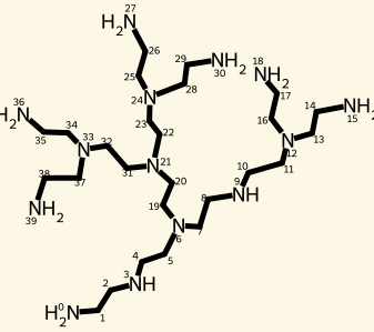 NCCNCCN(CCNCCN(CCN)CCN)CCN(CCN(CCN)CCN)CCN(CCN)CCN